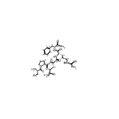 CC(C)C[C@@H](N)C(=O)N1CCC[C@H]1C(=O)N[C@@H](CCC(N)=O)C(=O)N[C@@H](CCCNC(=N)N)C(=O)N[C@@H](Cc1ccccc1)C(N)=O